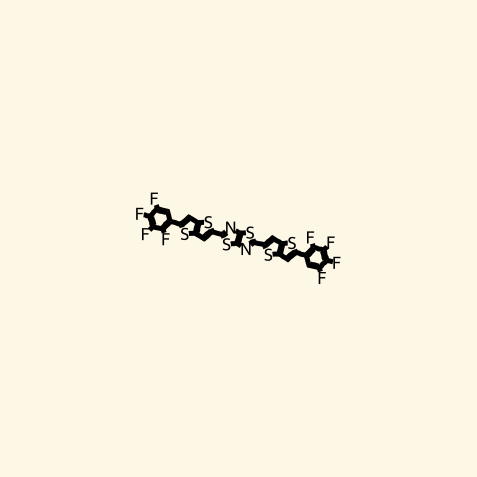 Fc1cc(-c2cc3sc(-c4nc5sc(-c6cc7sc(-c8cc(F)c(F)c(F)c8F)cc7s6)nc5s4)cc3s2)c(F)c(F)c1F